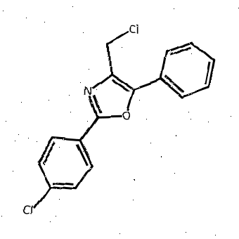 ClCc1nc(-c2ccc(Cl)cc2)oc1-c1ccccc1